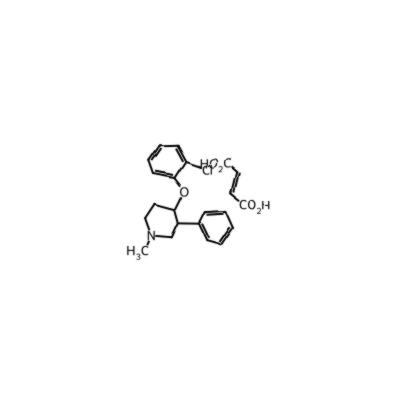 CN1CCC(Oc2ccccc2Cl)C(c2ccccc2)C1.O=C(O)C=CC(=O)O